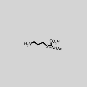 CC(=O)N[C@@H](SCCCN)C(=O)O